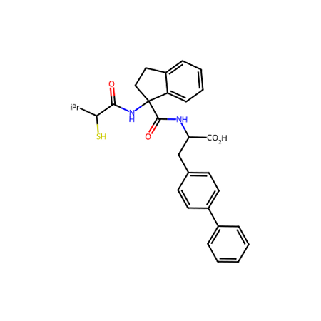 CC(C)C(S)C(=O)NC1(C(=O)NC(Cc2ccc(-c3ccccc3)cc2)C(=O)O)CCc2ccccc21